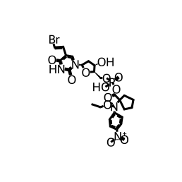 CCON(c1ccc([N+](=O)[O-])cc1)C1(C(=O)OP(=O)(O)OC[C@H]2O[C@@H](n3cc(/C=C/Br)c(=O)[nH]c3=O)C[C@@H]2O)CCCC1